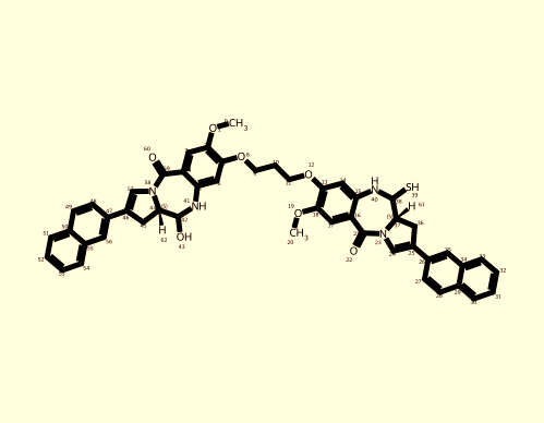 COc1cc2c(cc1OCCCOc1cc3c(cc1OC)C(=O)N1C=C(c4ccc5ccccc5c4)C[C@H]1C(S)N3)NC(O)[C@@H]1CC(c3ccc4ccccc4c3)=CN1C2=O